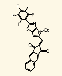 CCn1c(C=C2C(=O)c3cc4ccccc4cc3C2=O)cc2sc(-c3c(F)c(C)c(F)c(F)c3F)nc21